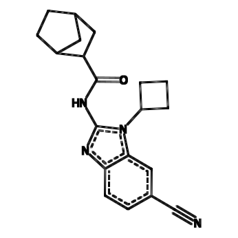 N#Cc1ccc2nc(NC(=O)C3CC4CCC3C4)n(C3CCC3)c2c1